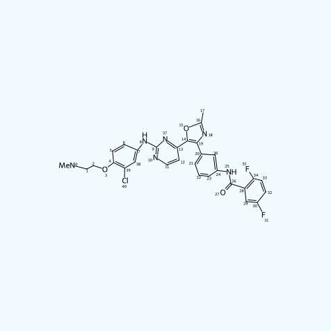 CNCCOc1ccc(Nc2nccc(-c3oc(C)nc3-c3cccc(NC(=O)c4cc(F)ccc4F)c3)n2)cc1Cl